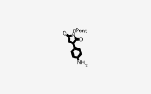 CCCCCN1C(=O)CC(c2ccc(N)cc2)C1=O